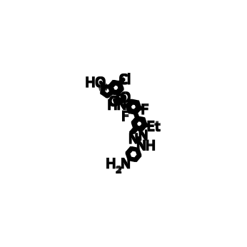 CCc1cc(-c2c(F)ccc(NS(=O)(=O)c3cc(Cl)cc4c3CC[C@H]4O)c2F)cc2cnc(NC3CCC(N)CC3)nc12